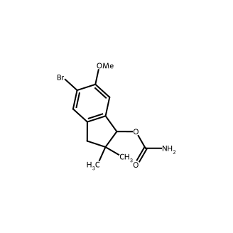 COc1cc2c(cc1Br)CC(C)(C)C2OC(N)=O